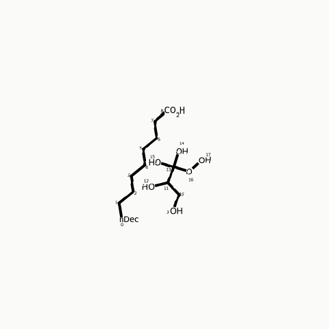 CCCCCCCCCCCCCCCCCC(=O)O.OCC(O)C(O)(O)OO